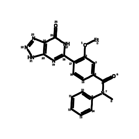 CCOc1cc(C(=O)N(C)c2ccccc2)ccc1-c1nc2[nH]nnc2c(=O)[nH]1